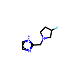 FC1CCN(Cc2ncc[nH]2)C1